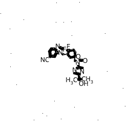 CC(C)(O)c1cnc(N2C[C@@]3(CCC(F)(F)[C@H](Cn4cnc5ccc(C#N)cc54)C3)OC2=O)cn1